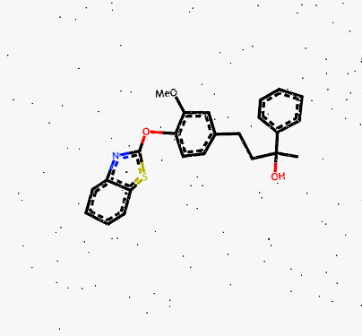 COc1cc(CCC(C)(O)c2ccccc2)ccc1Oc1nc2ccccc2s1